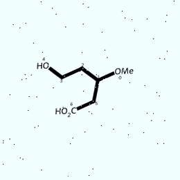 COC(CCO)CC(=O)O